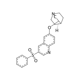 O=S(=O)(c1ccccc1)c1cnc2ccc(O[C@H]3CN4CCC3CC4)cc2c1